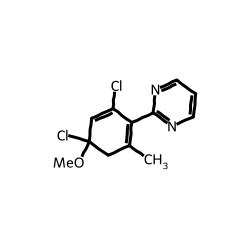 COC1(Cl)C=C(Cl)C(c2ncccn2)=C(C)C1